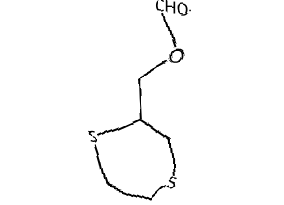 O=[C]OCC1CSCCS1